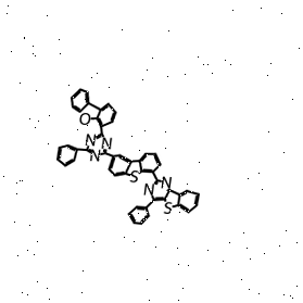 c1ccc(-c2nc(-c3ccc4sc5c(-c6nc(-c7ccccc7)c7sc8ccccc8c7n6)cccc5c4c3)nc(-c3cccc4c3oc3ccccc34)n2)cc1